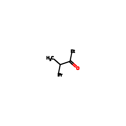 CCC(=O)C(C)C(C)C